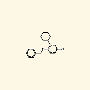 Clc1ccc(OCc2ccccc2)c(C2[CH]CCCC2)c1